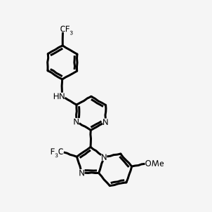 COc1ccc2nc(C(F)(F)F)c(-c3nccc(Nc4ccc(C(F)(F)F)cc4)n3)n2c1